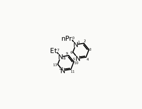 CCCN1C=CC=NC1.CCN1C=CC=NC1